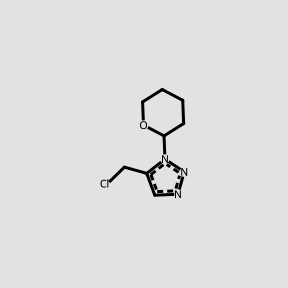 ClCc1cnnn1C1CCCCO1